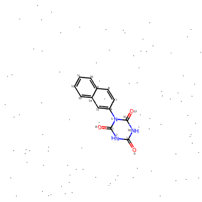 O=c1[nH]c(=O)n(-c2ccc3ccccc3c2)c(=O)[nH]1